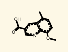 COc1ccc(C)c2cc(C(=O)O)cnc12